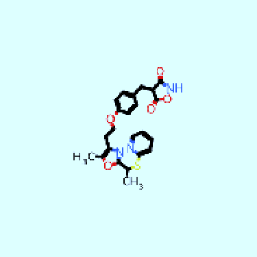 Cc1oc(C(C)Sc2ccccn2)nc1CCOc1ccc(CC2C(=O)NOC2=O)cc1